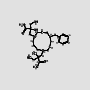 NC(=O)C(O)(CO)CN1CCCN(Cc2ccccc2)CCCN(CC(O)(CO)C(N)=O)CCC1